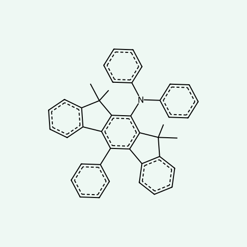 CC1(C)c2ccccc2-c2c(-c3ccccc3)c3c(c(N(c4ccccc4)c4ccccc4)c21)C(C)(C)c1ccccc1-3